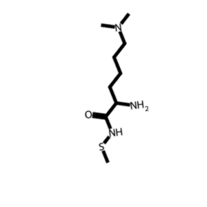 CSNC(=O)C(N)CCCCN(C)C